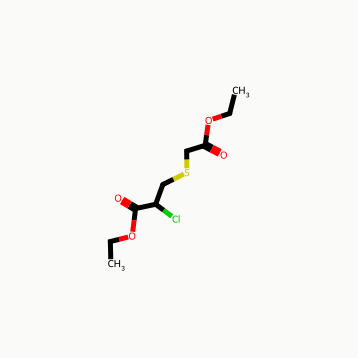 CCOC(=O)CSCC(Cl)C(=O)OCC